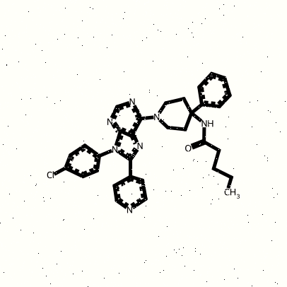 CCCCC(=O)NC1(c2ccccc2)CCN(c2ncnc3c2nc(-c2ccncc2)n3-c2ccc(Cl)cc2)CC1